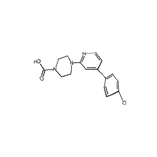 O=C(O)N1CCN(c2cc(-c3ccc(Cl)cc3)ccn2)CC1